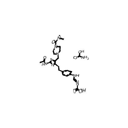 CC(=O)Nc1nc(CCc2ccc(NC=NC(=O)O)cc2)c(CN2CCN(C(=O)N(C)C)CC2)s1.NC(=O)O